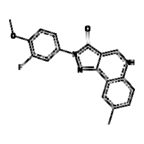 COc1ccc(-n2nc3c4cc(C)ccc4[nH]cc-3c2=O)cc1F